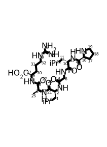 CC(C)C[C@H](NC(=O)CNC(=O)[C@H](CC(C)C)NC(=O)[C@@H]1CCCN1)C(=O)N[C@@H](C)C(=O)N[C@@H](CCCNC(=N)N)C(=O)O